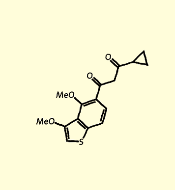 COc1csc2ccc(C(=O)CC(=O)C3CC3)c(OC)c12